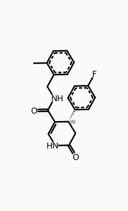 Cc1ccccc1CNC(=O)C1=CNC(=O)C[C@H]1c1ccc(F)cc1